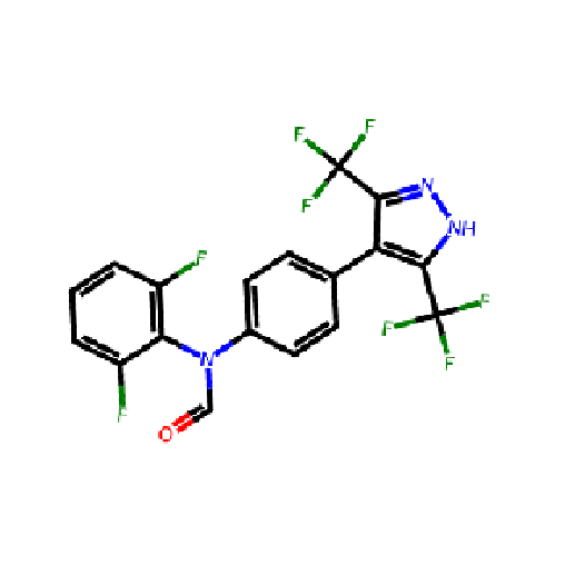 O=CN(c1ccc(-c2c(C(F)(F)F)n[nH]c2C(F)(F)F)cc1)c1c(F)cccc1F